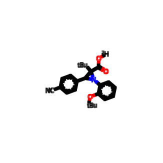 [2H]OC(=O)C1(C(C)(C)C)C(c2ccc(C#N)cc2)N1c1ccccc1OC(C)(C)C